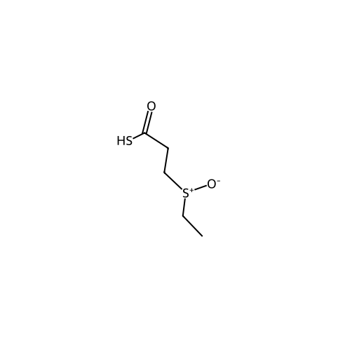 CC[S+]([O-])CCC(=O)S